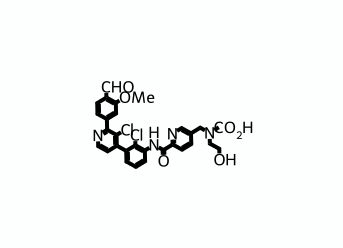 COc1cc(-c2nccc(-c3cccc(NC(=O)c4ccc(CN(CCO)C(=O)O)cn4)c3Cl)c2Cl)ccc1C=O